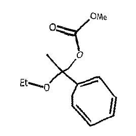 CCOC(C)(OC(=O)OC)c1ccccc1